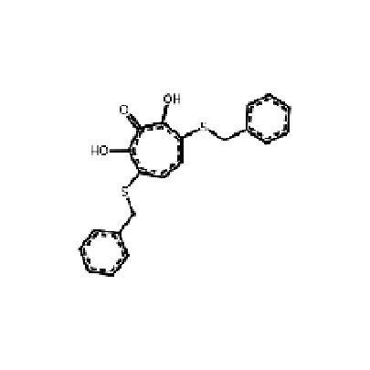 O=c1c(O)c(SCc2ccccc2)ccc(SCc2ccccc2)c1O